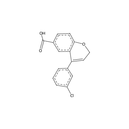 O=C(O)c1ccc2c(c1)C(c1cccc(Cl)c1)=CCO2